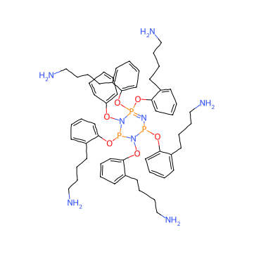 NCCCCc1ccccc1ON1P(Oc2ccccc2CCCCN)N=P(Oc2ccccc2CCCCN)(Oc2ccccc2CCCCN)N(Oc2ccccc2)P1Oc1ccccc1CCCCN